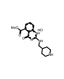 COC(=O)c1cccc2[nH]c(NCC3CCNCC3)nc(=O)c12.Cl